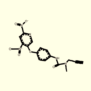 C#CCN(C)C(=O)Nc1ccc(Oc2cnc([N+](=O)[O-])cc2[N+](=O)[O-])cc1